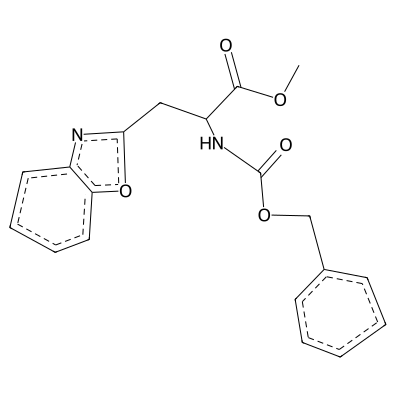 COC(=O)C(Cc1nc2ccccc2o1)NC(=O)OCc1ccccc1